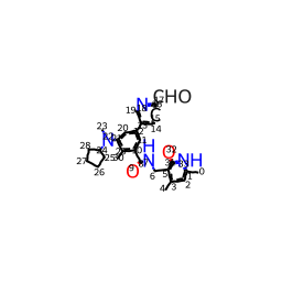 Cc1cc(C)c(CNC(=O)c2cc(-c3ccc(C=O)nc3)cc(N(C)C3CCCC3)c2C)c(=O)[nH]1